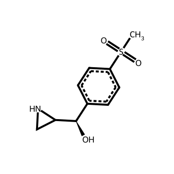 CS(=O)(=O)c1ccc([C@@H](O)C2CN2)cc1